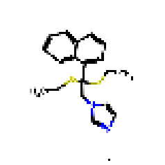 CCSC(Cn1ccnc1)(SCC)c1cccc2ccccc12